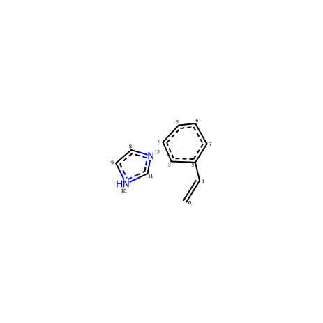 C=Cc1ccccc1.c1c[nH]cn1